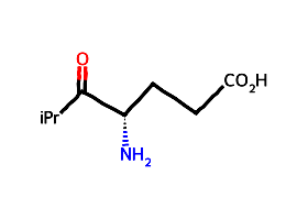 CC(C)C(=O)[C@@H](N)CCC(=O)O